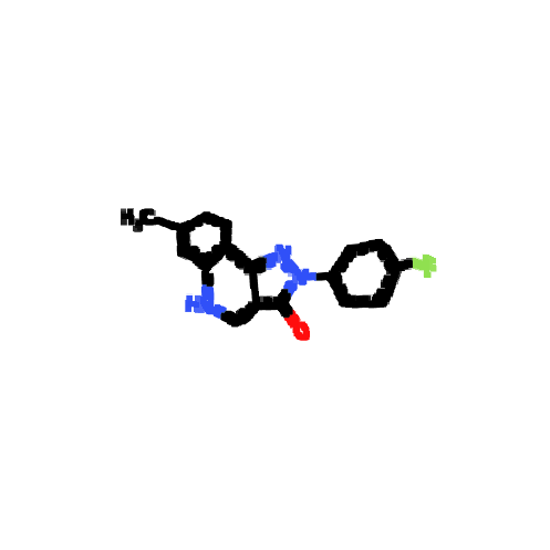 Cc1ccc2c3nn(-c4ccc(F)cc4)c(=O)c-3c[nH]c2c1